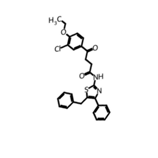 CCOc1ccc(C(=O)CCC(=O)Nc2nc(-c3ccccc3)c(Cc3ccccc3)s2)cc1Cl